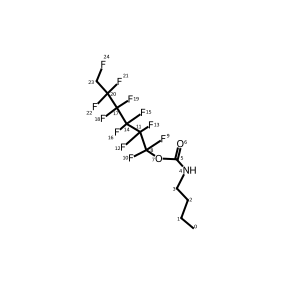 CCCCNC(=O)OC(F)(F)C(F)(F)C(F)(F)C(F)(F)C(F)(F)CF